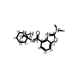 CN(C)c1nc2c(C(=O)N[C@@H]3CC4CCN3CC4)cccc2o1